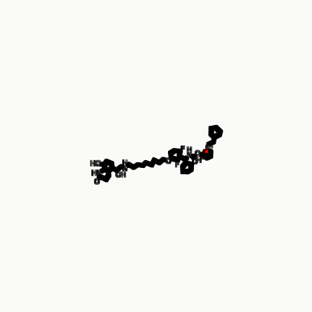 O=C(NC(c1ccccc1)c1c(F)ccc(OCCCCCCCCCNC[C@H](O)c2ccc(O)c3[nH]c(=O)ccc23)c1F)O[C@H]1C[N+]2(CCc3ccccc3)CCC1CC2